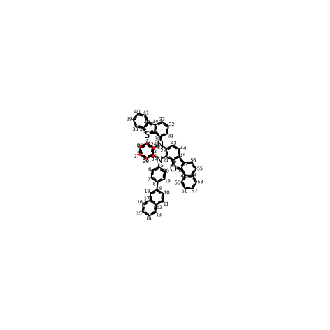 c1ccc(N(c2ccc(-c3ccc4ccccc4c3)cc2)c2c(N(c3ccccc3)c3cccc4c3sc3ccccc34)ccc3c2oc2c4ccccc4ccc32)cc1